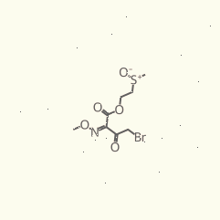 CON=C(C(=O)CBr)C(=O)OCC[S+](C)[O-]